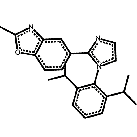 Cc1nc2cc(-c3nccn3-c3c(C(C)C)cccc3C(C)C)ccc2o1